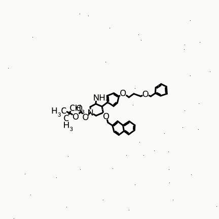 CC(C)(C)OC(=O)ON1CC(N)C(c2ccc(OCCCOCc3ccccc3)cc2)C(OCc2ccc3ccccc3c2)C1